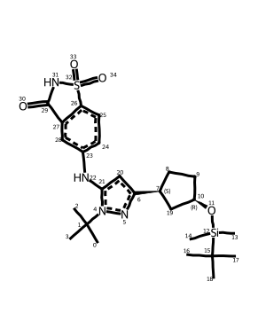 CC(C)(C)n1nc([C@H]2CC[C@@H](O[Si](C)(C)C(C)(C)C)C2)cc1Nc1ccc2c(c1)C(=O)NS2(=O)=O